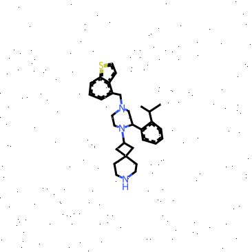 CC(C)c1ccccc1C1CN(Cc2cccc3sccc23)CCN1C1CC2(CCNCC2)C1